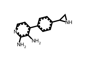 Nc1nccc(-c2ccc(C3CN3)cc2)c1N